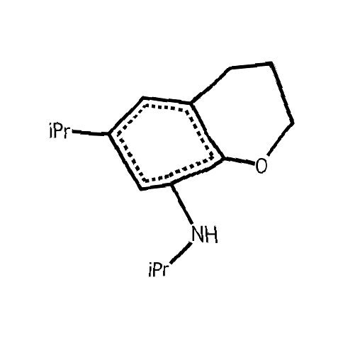 CC(C)Nc1cc(C(C)C)cc2c1OCCC2